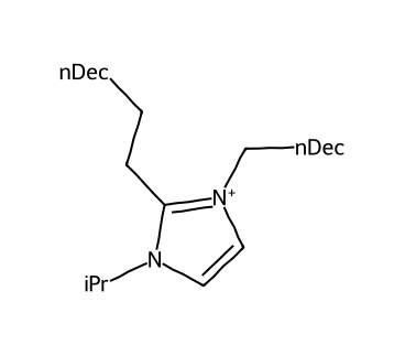 CCCCCCCCCCCCc1n(C(C)C)cc[n+]1CCCCCCCCCCC